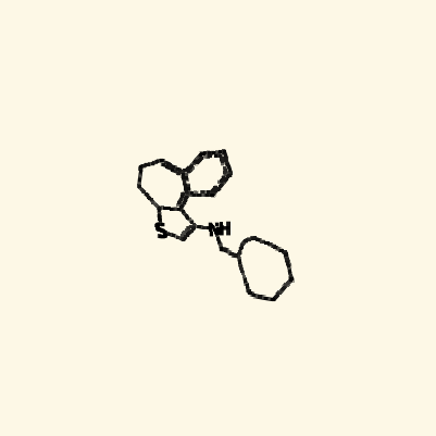 C1=C(NCC2CCCCC2)C2=c3ccccc3=CCCC2S1